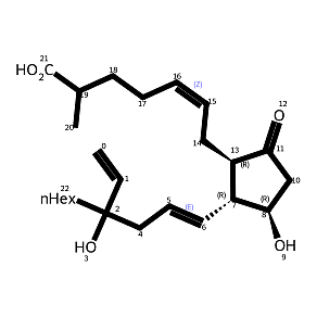 C=CC(O)(C/C=C/[C@H]1[C@H](O)CC(=O)[C@@H]1C/C=C\CCC(C)C(=O)O)CCCCCC